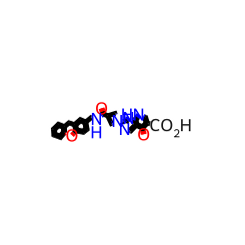 O=C(O)c1c[nH]c2nc(N3CC(C(=O)NCc4ccc5c(c4)Cc4ccccc4O5)C3)ncc2c1=O